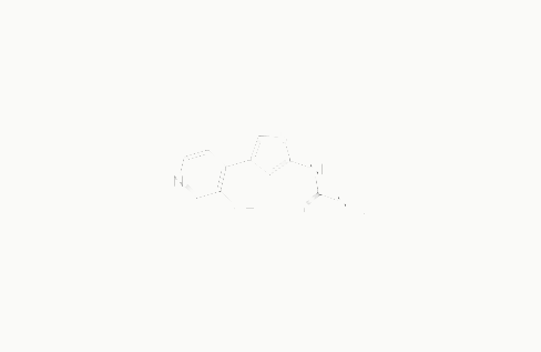 Cc1cnccc1-c1csc(NC(N)=O)c1